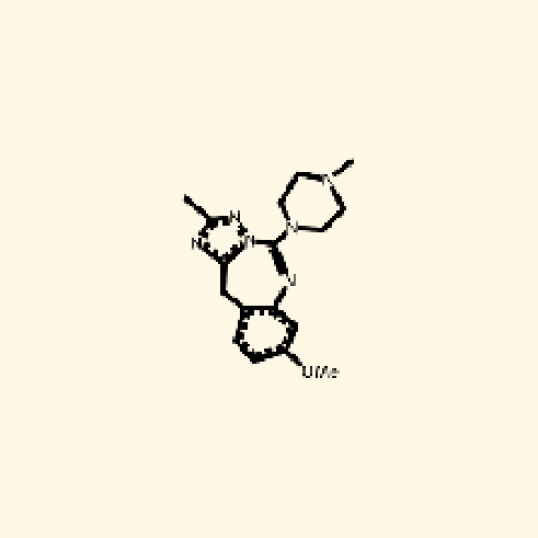 COc1ccc2c(c1)N=C(N1CCN(C)CC1)n1nc(C)nc1C2